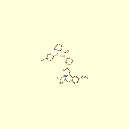 COc1ccc2c(c1)/C(=C/C(=O)c1cccc(NC(=O)c3cccnc3Sc3ccc(Cl)cc3)c1)NC(C)(C)C2